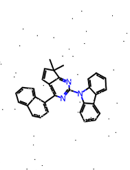 CC1(C)C=Cc2c(-c3cccc4ccccc34)nc(-n3c4ccccc4c4ccccc43)nc21